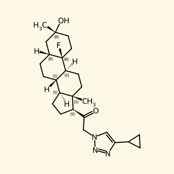 C[C@@]1(O)CC[C@@]2(F)[C@H](CC[C@H]3[C@@H]4CC[C@H](C(=O)Cn5cc(C6CC6)nn5)[C@@]4(C)CC[C@@H]32)C1